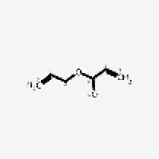 C=CCOC([O])C=C